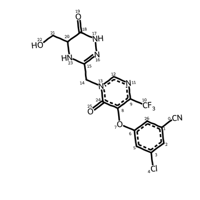 N#Cc1cc(Cl)cc(Oc2c(C(F)(F)F)ncn(CC3=NNC(=O)C(CO)N3)c2=O)c1